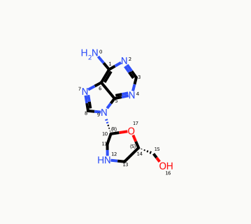 Nc1ncnc2c1ncn2[C@H]1CNC[C@@H](CO)O1